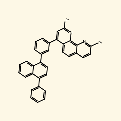 CC(C)c1ccc2ccc3c(-c4cccc(-c5ccc(-c6ccccc6)c6ccccc56)c4)cc(C(C)C)nc3c2n1